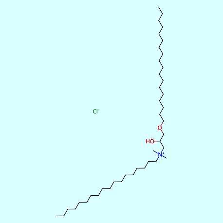 CCCCCCCCCCCCCCCCCCOCC(O)C[N+](C)(C)CCCCCCCCCCCCCCCCCC.[Cl-]